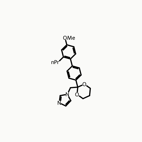 CCCc1cc(OC)ccc1-c1ccc(C2(Cn3ccnc3)OCCCO2)cc1